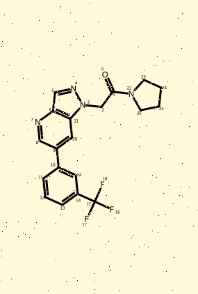 O=C(Cn1ncc2ncc(-c3cccc(C(F)(F)F)c3)cc21)N1CCCC1